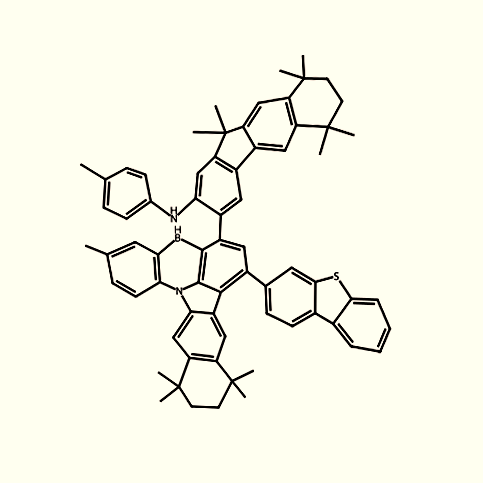 Cc1ccc(Nc2cc3c(cc2-c2cc(-c4ccc5c(c4)sc4ccccc45)c4c5cc6c(cc5n5c4c2Bc2cc(C)ccc2-5)C(C)(C)CCC6(C)C)-c2cc4c(cc2C3(C)C)C(C)(C)CCC4(C)C)cc1